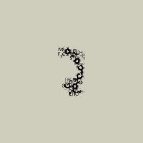 CC(C)n1cc(OC=O)c2c(N3CCC(=O)NC3=O)cc(C(=O)N(C)C3CCN(CC4CCN(c5ccc(N6C(=S)N(c7ccc(C#N)c(C(F)(F)F)c7)C(=O)C6(C)C)cc5)CC4)CC3)cc21